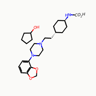 O=C(O)N[C@H]1CC[C@H](CCN2CCN(c3cccc4c3OCO4)CC2)CC1.OC1CCCC1